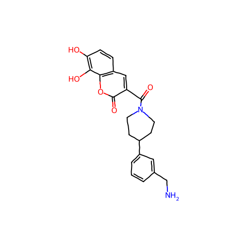 NCc1cccc(C2CCN(C(=O)c3cc4ccc(O)c(O)c4oc3=O)CC2)c1